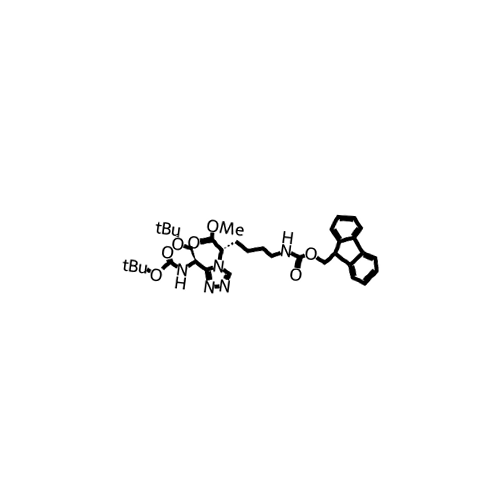 COC(=O)[C@H](CCCCNC(=O)OCC1c2ccccc2-c2ccccc21)n1cnnc1[C@H](COC(C)(C)C)NC(=O)OC(C)(C)C